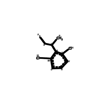 CC(CI)c1c(Cl)cccc1Cl